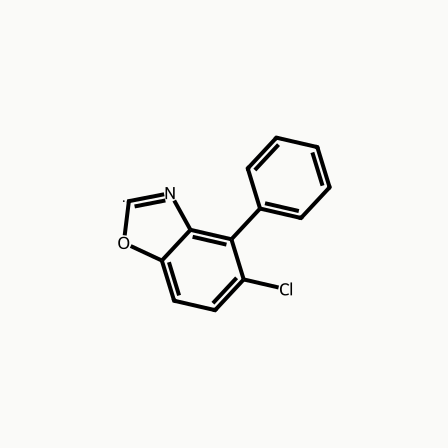 Clc1ccc2o[c]nc2c1-c1ccccc1